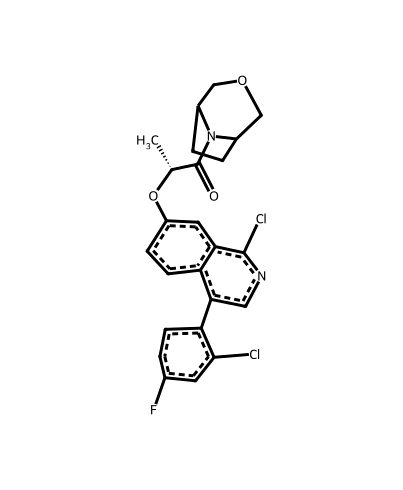 C[C@@H](Oc1ccc2c(-c3ccc(F)cc3Cl)cnc(Cl)c2c1)C(=O)N1C2CCC1COC2